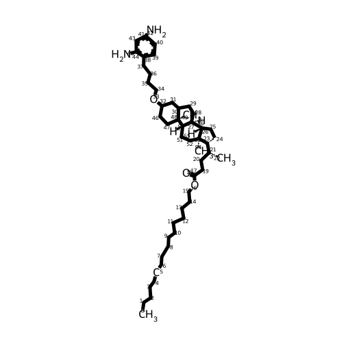 CCCCCCCCCCCCCCCCOC(=O)CC[C@@H](C)[C@H]1CC[C@H]2[C@@H]3CCC4CC(OCCCCc5ccc(N)cc5N)CC[C@]4(C)[C@H]3CC[C@]12C